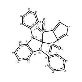 O=S1(=O)C2=CCC=C2S(=O)(=O)C12N(c1ccccc1)c1nccnc1N2c1ccccc1